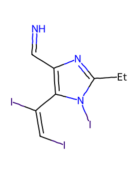 CCc1nc(C=N)c(/C(I)=C\I)n1I